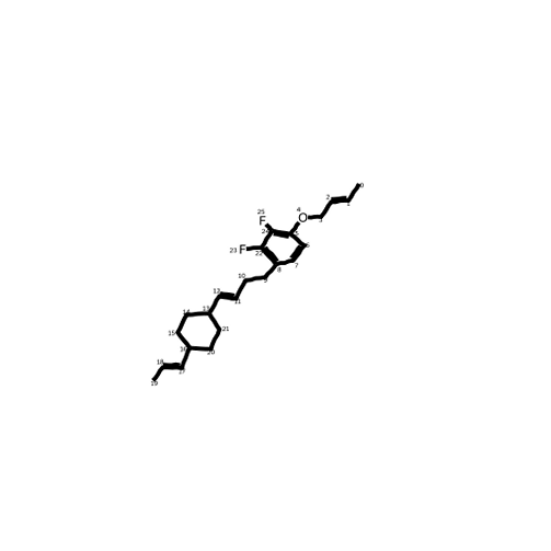 C/C=C/COc1ccc(CC/C=C/C2CCC(/C=C/C)CC2)c(F)c1F